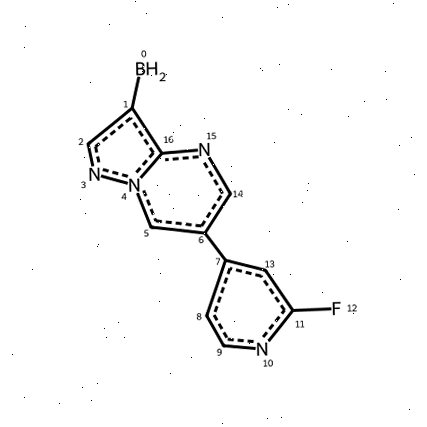 Bc1cnn2cc(-c3ccnc(F)c3)cnc12